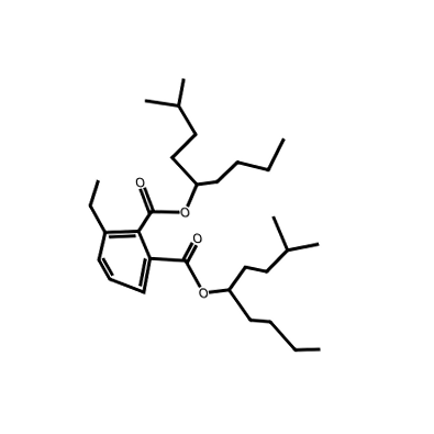 CCCCC(CCC(C)C)OC(=O)c1cccc(CC)c1C(=O)OC(CCCC)CCC(C)C